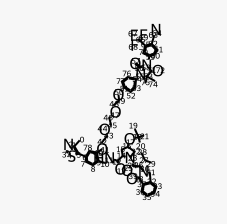 Cc1ncsc1-c1ccc(CNC(=O)C2C[C@@H](OC(C)(C)C)CN2C(=O)[C@H](C(C)C)N2Cc3ccccc3C2=O)c(OCCOCCOCCOc2ccc(N3C(=O)N(c4ccc(C#N)c(C(F)(F)F)c4)C(=O)C3(C)C)cc2)c1